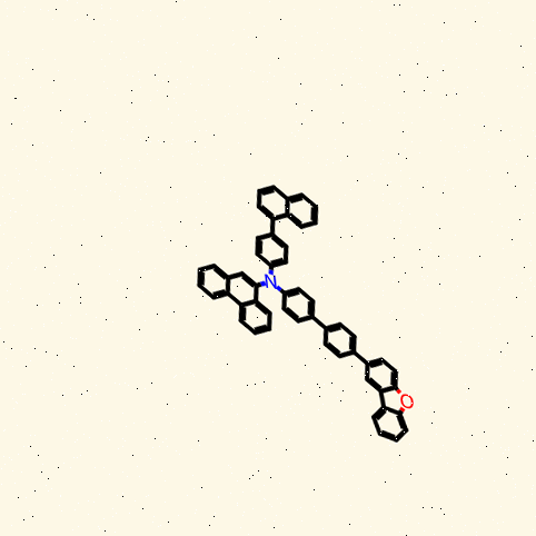 c1ccc2c(-c3ccc(N(c4ccc(-c5ccc(-c6ccc7oc8ccccc8c7c6)cc5)cc4)c4cc5ccccc5c5ccccc45)cc3)cccc2c1